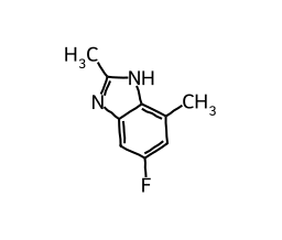 Cc1nc2cc(F)cc(C)c2[nH]1